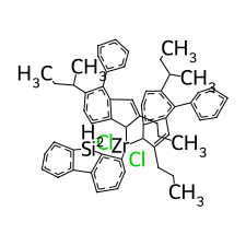 CCCC1=Cc2c(ccc(C(C)CC)c2-c2ccccc2)[CH]1[Zr]([Cl])([Cl])([c]1cccc2c1[SiH2]c1ccccc1-2)[CH]1C(CCC)=Cc2c1ccc(C(C)CC)c2-c1ccccc1